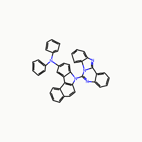 c1ccc(N(c2ccccc2)c2ccc3c(c2)c2c4ccccc4ccc2n3-c2nc3ccccc3c3nc4ccccc4n23)cc1